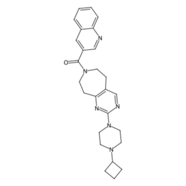 O=C(c1cnc2ccccc2c1)N1CCc2cnc(N3CCN(C4CCC4)CC3)nc2CC1